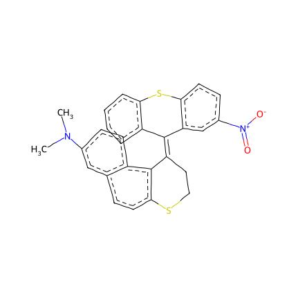 CN(C)c1ccc2c3c(ccc2c1)SCCC3=C1c2ccccc2Sc2ccc([N+](=O)[O-])cc21